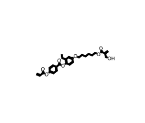 C=CC(=O)Oc1ccc(C(=O)Oc2ccc(OCCCCCCOC(=O)C(=C)CO)cc2CC)cc1